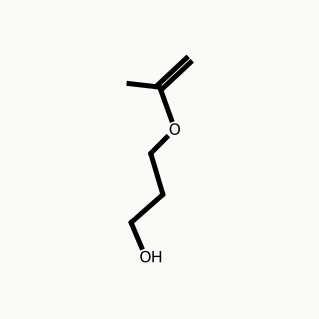 C=C(C)OCCCO